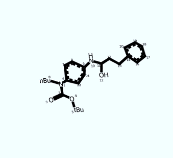 CCCCN(C(=O)OC(C)(C)C)c1ccc(NC(O)[CH]Cc2ccccc2)cc1